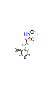 CNC(=O)CCCc1ccccc1Br